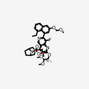 CCc1cccc2cc(OCOC)cc(-c3ncc4c(N5CC6CCC(C5)N6C(=O)OC(C)(C)C)nc(O[C@H](C)C(OC)OC)nc4c3F)c12